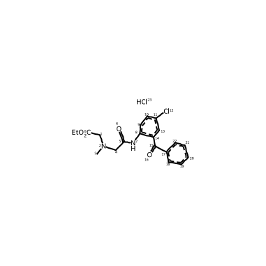 CCOC(=O)CN(C)CC(=O)Nc1ccc(Cl)cc1C(=O)c1ccccc1.Cl